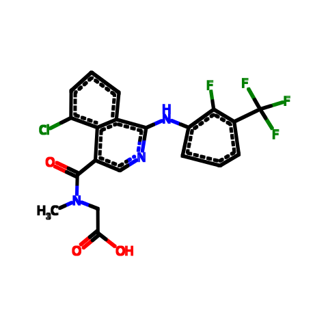 CN(CC(=O)O)C(=O)c1cnc(Nc2cccc(C(F)(F)F)c2F)c2cccc(Cl)c12